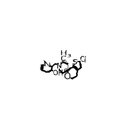 C[C@H]1C[C@@]2(CCN1Cc1ncccc1O)OCCc1cc(Cl)sc12